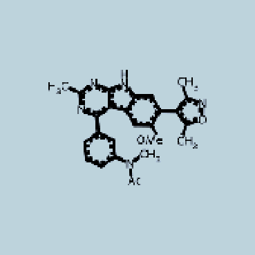 COc1cc2c(cc1-c1c(C)noc1C)[nH]c1nc(C)nc(-c3cccc(N(C)C(C)=O)c3)c12